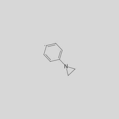 [c]1ccc(N2CC2)cc1